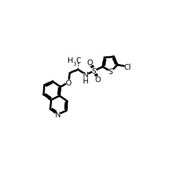 C[C@@H](COc1cccc2cnccc12)NS(=O)(=O)c1ccc(Cl)s1